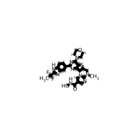 CN(Cc1cc2nc(-c3ccc4[nH]c(C(C)(F)F)nc4c3)nc(N3CCOCC3)c2s1)c1ncc(C(=O)NO)cn1